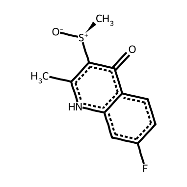 Cc1[nH]c2cc(F)ccc2c(=O)c1[S@+](C)[O-]